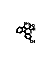 Cc1noc(C)c1-c1c(N)c2ccccc2n1-c1ccc(O)cc1